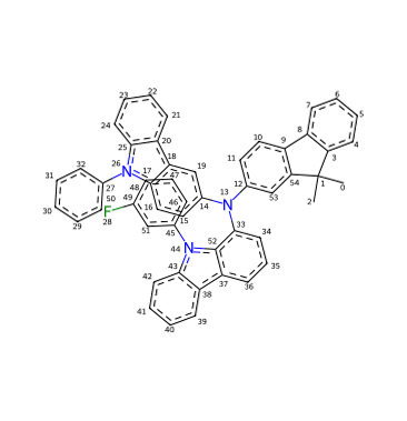 CC1(C)c2ccccc2-c2ccc(N(c3ccc4c(c3)c3ccccc3n4-c3ccccc3)c3cccc4c5ccccc5n(-c5cccc(F)c5)c34)cc21